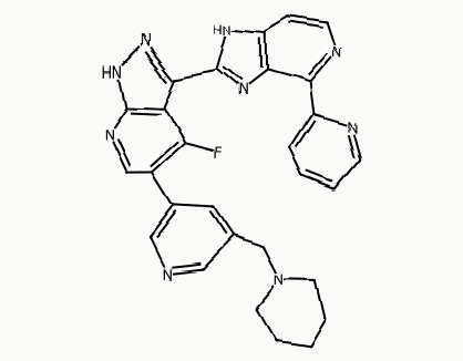 Fc1c(-c2cncc(CN3CCCCC3)c2)cnc2[nH]nc(-c3nc4c(-c5ccccn5)nccc4[nH]3)c12